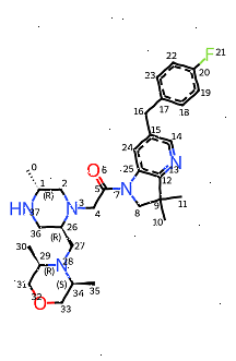 C[C@@H]1CN(CC(=O)N2CC(C)(C)c3ncc(Cc4ccc(F)cc4)cc32)[C@@H](CN2[C@H](C)COC[C@@H]2C)CN1